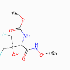 CCCCONC(=O)[C@@H](NC(=O)OC(C)(C)C)C(O)(CF)CF